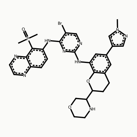 Cn1cc(-c2cc3c(c(Nc4ncc(Br)c(Nc5ccc6nccnc6c5P(C)(C)=O)n4)c2)OC(C2COCCN2)CC3)cn1